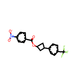 O=C(OC1CC(c2ccc(C(F)(F)F)cc2)C1)c1ccc([N+](=O)[O-])cc1